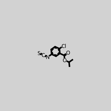 CC(C)OC(=O)c1cc(N=C=S)ccc1Cl